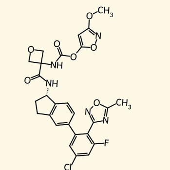 COc1cc(OC(=O)NC2(C(=O)N[C@H]3CCc4cc(-c5cc(Cl)cc(F)c5-c5noc(C)n5)ccc43)COC2)on1